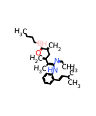 C=C(CC(=C)/C(C)=C(\N=C/C)Nc1ccccc1C=CC(C)C)C(=O)BCCCC